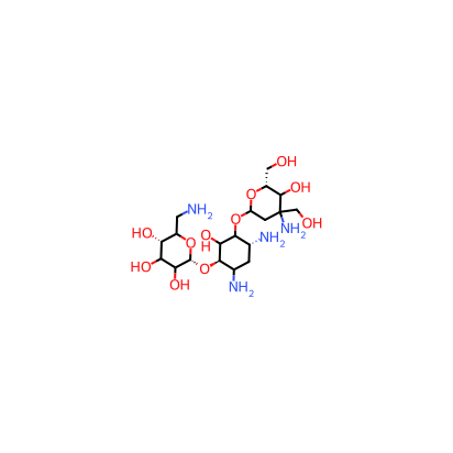 NCC1O[C@H](O[C@@H]2C(N)C[C@@H](N)C(OC3CC(N)(CO)C(O)[C@@H](CO)O3)C2O)C(O)C(O)[C@@H]1O